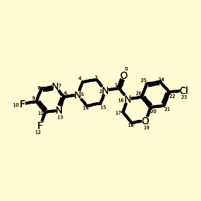 O=C(N1CCN(c2ncc(F)c(F)n2)CC1)N1CCOc2cc(Cl)ccc21